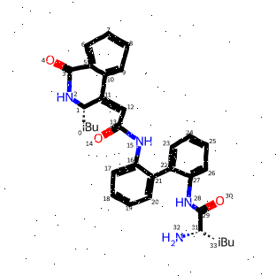 CCC(C)[C@@H]1NC(=O)c2ccccc2C1=CC(=O)Nc1ccccc1-c1ccccc1NC(=O)[C@@H](N)[C@@H](C)CC